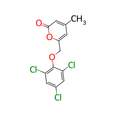 Cc1cc(COc2c(Cl)cc(Cl)cc2Cl)oc(=O)c1